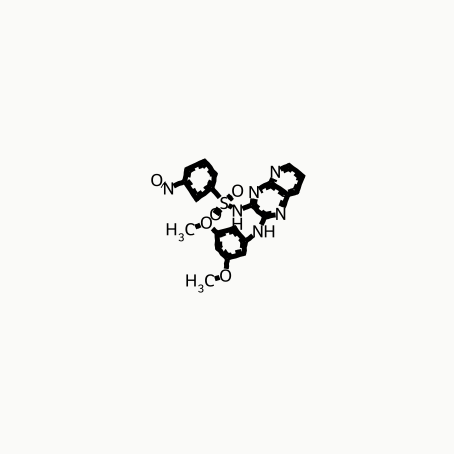 COc1cc(Nc2nc3cccnc3nc2NS(=O)(=O)c2cccc(N=O)c2)cc(OC)c1